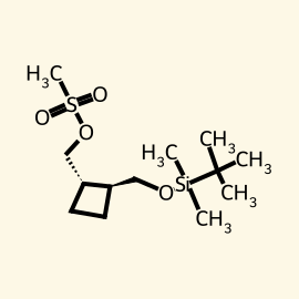 CC(C)(C)[Si](C)(C)OC[C@H]1CC[C@@H]1COS(C)(=O)=O